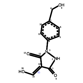 O=C1NN(c2ccc(CO)cc2)C(=O)/C1=C\O